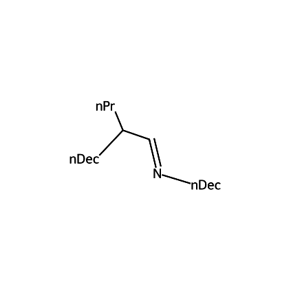 CCCCCCCCCC/N=C/C(CCC)CCCCCCCCCC